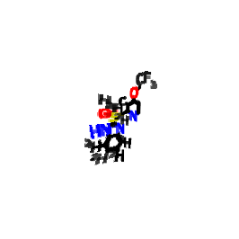 [2H]c1c([2H])c([2H])c2[nH]c([S+]([O-])C([2H])([2H])c3nccc(OCC(F)(F)F)c3C)nc2c1[2H]